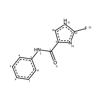 O=C(Nc1ccccc1)c1c[nH]c(F)n1